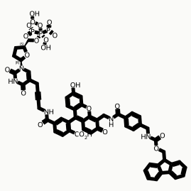 O=C(NCc1ccc(C(=O)NCc2c3oc4cc(O)ccc4c(-c4cc(C(=O)NCC#CCc5cn([C@H]6CC[C@@H](COP(OO)(OOO)(P(=O)=O)P(=O)=O)O6)c(=O)[nH]c5=O)ccc4C(=O)O)c-3ccc2=O)cc1)OCC1c2ccccc2-c2ccccc21